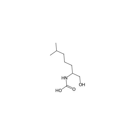 CC(C)CCCC(CO)NC(=O)O